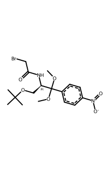 COC(OC)(c1ccc([N+](=O)[O-])cc1)[C@@H](COC(C)(C)C)NC(=O)CBr